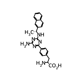 C[C@@H](Nc1nc(N)nc(-c2ccc(CC(N)C(=O)O)cc2)n1)c1ccc2ccccc2c1